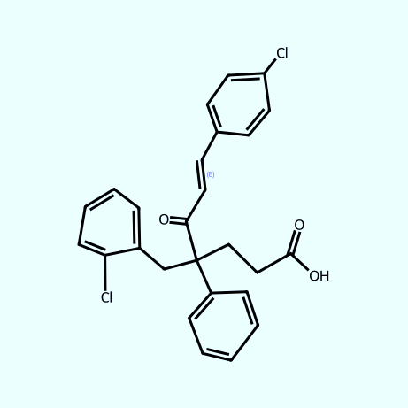 O=C(O)CCC(Cc1ccccc1Cl)(C(=O)/C=C/c1ccc(Cl)cc1)c1ccccc1